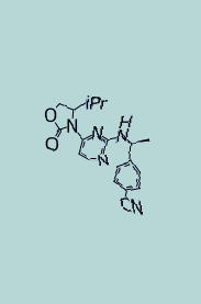 CC(C)C1COC(=O)N1c1ccnc(N[C@@H](C)c2ccc(C#N)cc2)n1